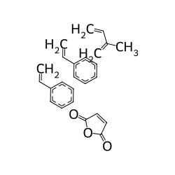 C=CC(=C)C.C=Cc1ccccc1.C=Cc1ccccc1.O=C1C=CC(=O)O1